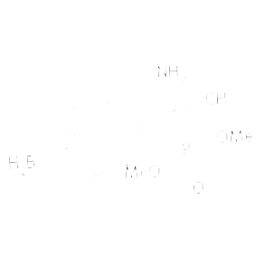 Bc1ccc(C(C)(N)P(=O)(OC)OC)cc1